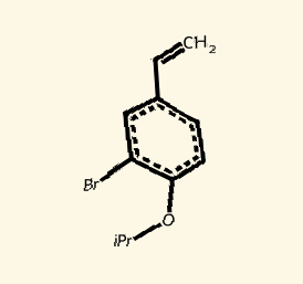 C=[C]c1ccc(OC(C)C)c(Br)c1